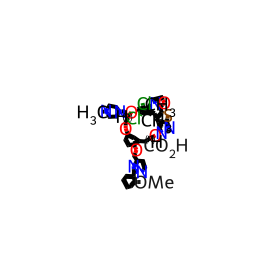 COc1ccccc1-c1nccc(COc2ccc3cc2C[C@H](C(=O)O)Oc2ncnc4sc(-c5ncco5)c(c24)-c2c(C)c(Cl)c(c(Cl)c2C)O[C@H](CN2CCN(C)CC2)CO3)n1